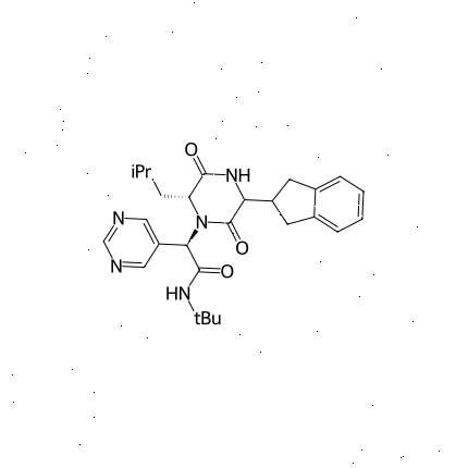 CC(C)C[C@@H]1C(=O)NC(C2Cc3ccccc3C2)C(=O)N1[C@@H](C(=O)NC(C)(C)C)c1cncnc1